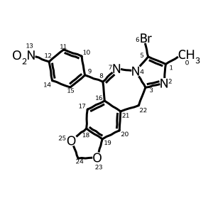 Cc1nc2n(c1Br)N=C(c1ccc([N+](=O)[O-])cc1)c1cc3c(cc1C2)OCO3